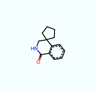 O=C1NCC2(CCCC2)c2ccccc21